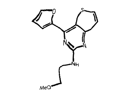 COCCNc1nc(-c2ccco2)c2sccc2n1